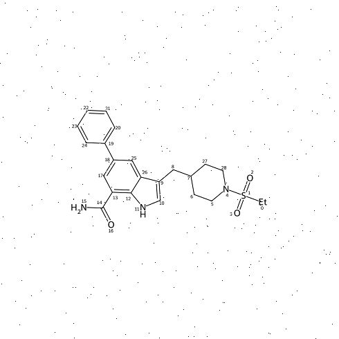 CCS(=O)(=O)N1CCC(Cc2c[nH]c3c(C(N)=O)cc(-c4ccccc4)cc23)CC1